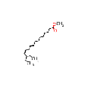 CCC(/C=C\C/C=C/CCCCCCCC(=O)OC)CC